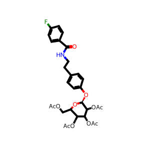 CC(=O)OCC1O[C@@H](Oc2ccc(CCNC(=O)c3ccc(F)cc3)cc2)C(OC(C)=O)C(OC(C)=O)C1OC(C)=O